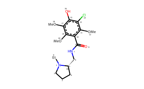 CCN1CCC[C@H]1CNC(=O)c1c(OC)c(Cl)c(O)c(OC)c1OC